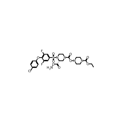 CCOC(=O)N1CCN(OC(=O)N2CCN(S(=O)(=O)c3cc(F)c(Oc4ccc(Cl)cc4)c(F)c3)[C@@H](C(=O)ON)C2)CC1